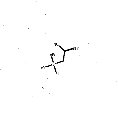 CCCC(C#N)C[Si](CC)(CCC)CCC